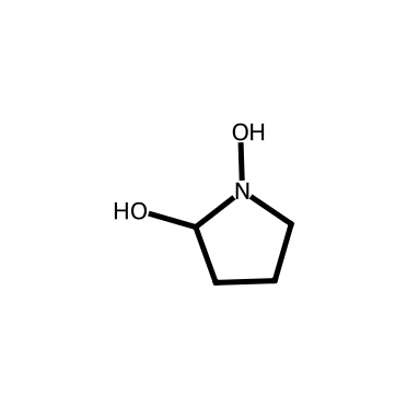 OC1CCCN1O